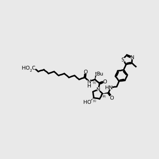 Cc1ncsc1-c1ccc(CNC(=O)[C@H]2C[C@H](O)CN2C(=O)[C@@H](NC(=O)CCCCCCCCCC(=O)O)C(C)(C)C)cc1